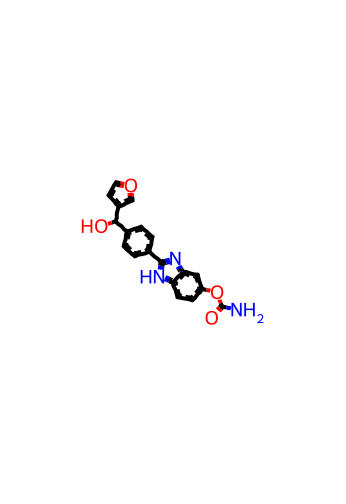 NC(=O)Oc1ccc2[nH]c(-c3ccc(C(O)c4ccoc4)cc3)nc2c1